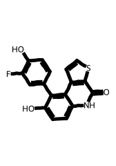 O=c1[nH]c2ccc(O)c(-c3ccc(O)c(F)c3)c2c2ccsc12